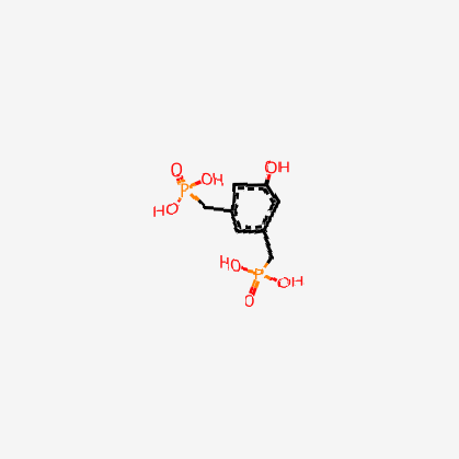 O=P(O)(O)Cc1cc(O)cc(CP(=O)(O)O)c1